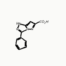 O=C(O)c1cc2[nH]nc(-c3ccccc3)n2n1